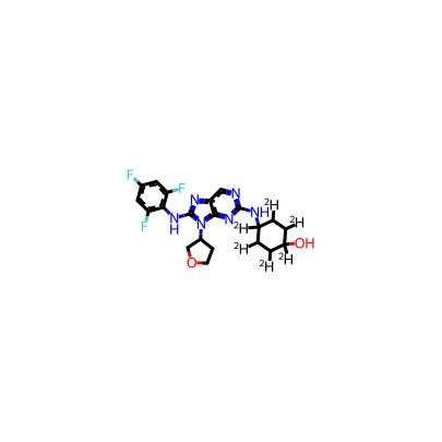 [2H]C1C([2H])C([2H])(Nc2ncc3nc(Nc4c(F)cc(F)cc4F)n(C4CCOC4)c3n2)C([2H])C([2H])C1([2H])O